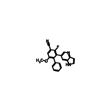 COc1cc(C#N)c(F)c(-c2cnc3cc[nH]c3c2)c1-c1ccccc1